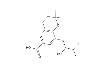 CC(C)C(O)Cc1cc(C(=O)O)cc2c1OC(C)(C)CC2